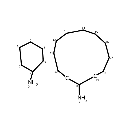 NC1CCCCC1.NC1CCCCCCCCCCC1